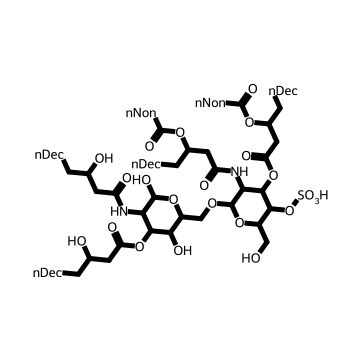 CCCCCCCCCCCC(O)CC(=O)NC1C(O)OC(COC2OC(CO)C(OS(=O)(=O)O)C(OC(=O)CC(CCCCCCCCCCC)OC(=O)CCCCCCCCC)C2NC(=O)CC(CCCCCCCCCCC)OC(=O)CCCCCCCCC)C(O)C1OC(=O)CC(O)CCCCCCCCCCC